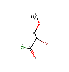 COCC(Br)C(=O)Cl